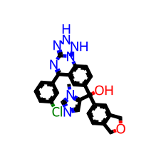 Cn1cncc1C(O)(c1ccc2c(c1)COC2)c1ccc2c(c1)C(c1cccc(Cl)c1)=NC1=NNNN12